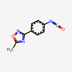 Cc1nc(-c2ccc(N=C=O)cc2)no1